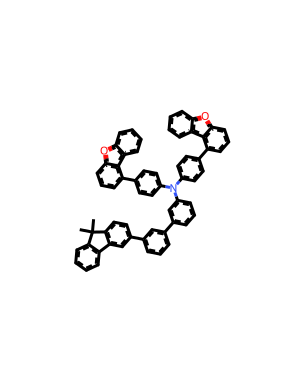 CC1(C)c2ccccc2-c2cc(-c3cccc(-c4cccc(N(c5ccc(-c6cccc7oc8ccccc8c67)cc5)c5ccc(-c6cccc7oc8ccccc8c67)cc5)c4)c3)ccc21